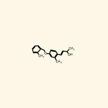 Cc1cc(OCc2ccccc2C)ccc1C=CC(C)O